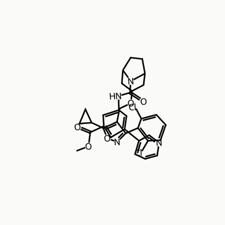 COC(=O)c1cc(NC(=O)N2C3CCC2CC(OCc2c(-c4c(Cl)cccc4Cl)noc2C2CC2)C3)cc(-c2cccnc2)c1